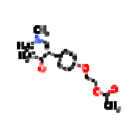 CC(=O)OCCOc1ccc(C(=CN(C)C)C(C)=O)cc1